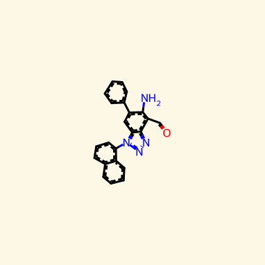 Nc1c(-c2ccccc2)cc2c(nnn2-c2cccc3ccccc23)c1C=O